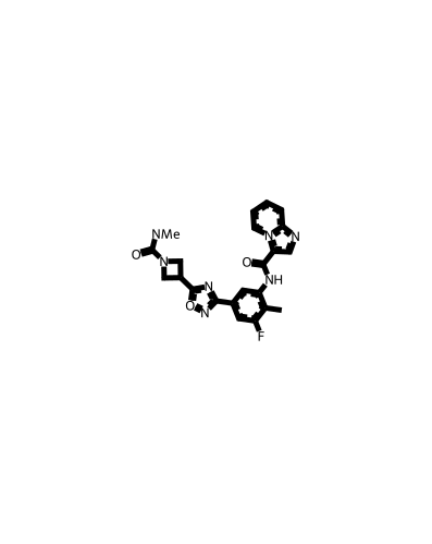 CNC(=O)N1CC(c2nc(-c3cc(F)c(C)c(NC(=O)c4cnc5ccccn45)c3)no2)C1